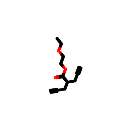 C#CCC(CC#C)C(=O)OCCOCC